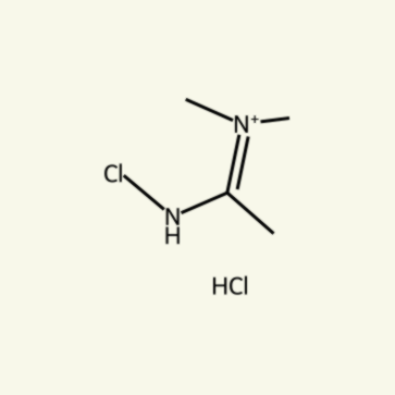 CC(NCl)=[N+](C)C.Cl